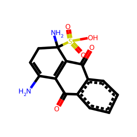 NC1=CCC(N)(S(=O)(=O)O)C2=C1C(=O)c1ccccc1C2=O